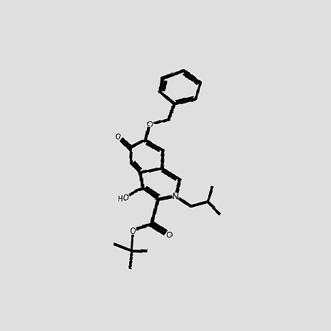 CC(C)Cn1cc2cc(OCc3ccccc3)c(=O)cc-2c(O)c1C(=O)OC(C)(C)C